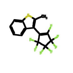 Cc1sc2ccccc2c1C1=C(F)C(F)(F)C(F)(F)C1(F)F